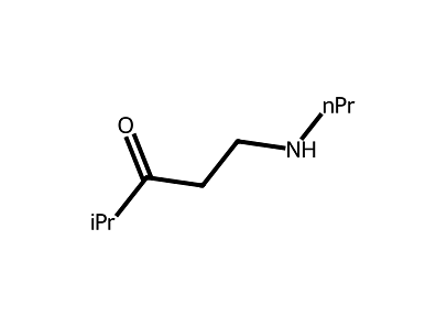 [CH2]CCNCCC(=O)C(C)C